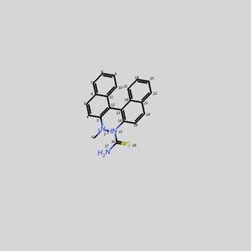 CN(C)c1ccc2ccccc2c1-c1c(NC(N)=S)ccc2ccccc12